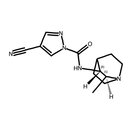 C[C@H]1[C@H](NC(=O)n2cc(C#N)cn2)C2CCN1CC2